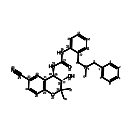 CN(Cc1ccccc1)Cc1ccccc1NC(=O)N[C@@H]1c2cc(C#N)ccc2OC(C)(C)[C@H]1O